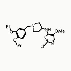 CCOc1cc(CN2CCC(Nc3nc(Cl)ncc3OC)CC2)ccc1OC(C)C